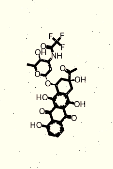 CC(=O)[C@]1(O)Cc2c(O)c3c(c(O)c2[C@@H](O[C@H]2CC(NC(=O)C(F)(F)F)[C@H](O)C(C)O2)C1)C(=O)c1c(O)cccc1C3=O